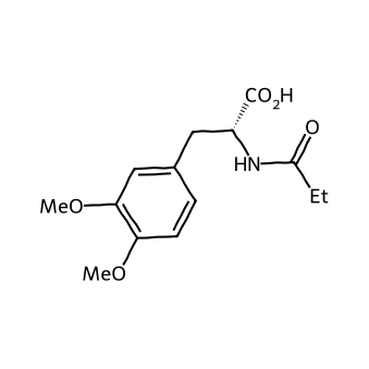 CCC(=O)N[C@H](Cc1ccc(OC)c(OC)c1)C(=O)O